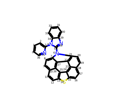 c1ccc(-n2c(-n3c4ccc5ccc6sc7ccc8ccc3c3c8c7c6c5c34)nc3ccccc32)nc1